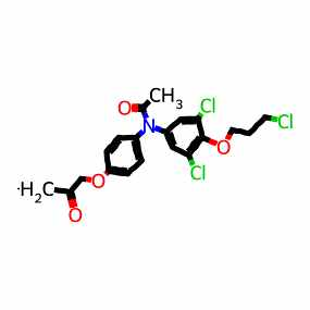 [CH2]C(=O)COc1ccc(N(C(C)=O)c2cc(Cl)c(OCCCCl)c(Cl)c2)cc1